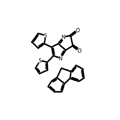 O=c1nc2c(-c3cccs3)c(-c3cccs3)nc-2c1=O.c1ccc2c(c1)Cc1ccccc1-2